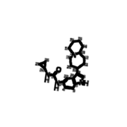 O=C(Nc1ccc2[nH]cc(C3CCC4CCCCN4CC3)c2c1)NC1CC1